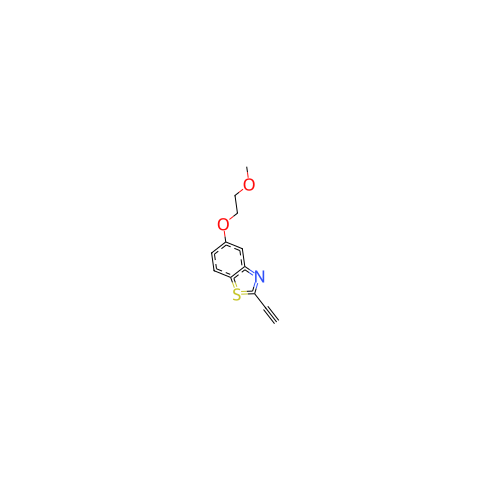 C#Cc1nc2cc(OCCOC)ccc2s1